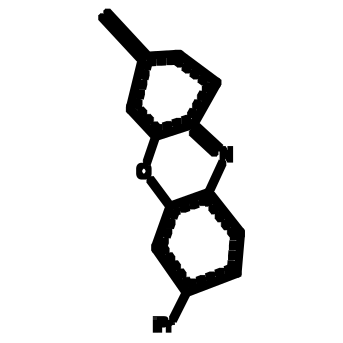 C=c1ccc2c(c1)Oc1cc(C(C)C)ccc1N=2